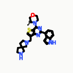 C[C@@H]1COCCN1c1nc(-c2cccc3[nH]ccc23)nc2c(CN3CCC4(CCNC4)C3)csc12